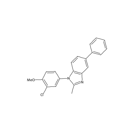 COc1ccc(-n2c(C)nc3cc(-c4ccccc4)ccc32)cc1Cl